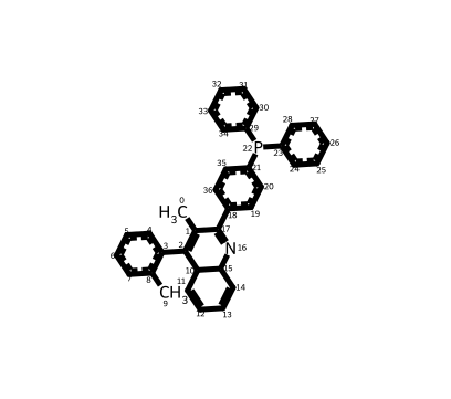 CC1=C(c2ccccc2C)C2C=CC=CC2N=C1c1ccc(P(c2ccccc2)c2ccccc2)cc1